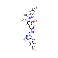 COc1ccc(N=Nc2c(S(=O)(=O)O)cc3cc(NCc4nc(Cl)nc(Nc5ccc(S(=O)(=O)O)cc5)n4)ccc3c2O)c(S(=O)(=O)O)c1